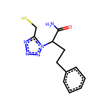 NC(=O)C(CCc1ccccc1)n1nnnc1CS